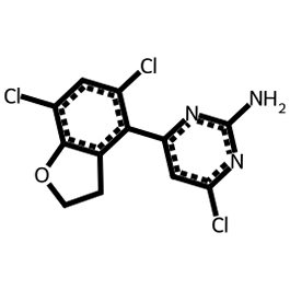 Nc1nc(Cl)cc(-c2c(Cl)cc(Cl)c3c2CCO3)n1